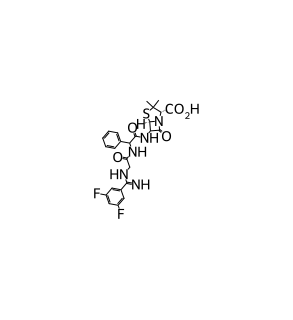 CC1(C)S[C@@H]2C(NC(=O)C(NC(=O)CNC(=N)c3cc(F)cc(F)c3)c3ccccc3)C(=O)N2[C@H]1C(=O)O